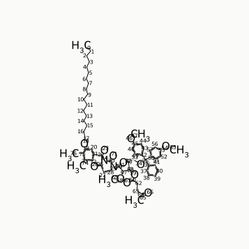 CCCCCCCCCCCCCCCCCCOc1cc(C(=O)n2c(=O)ccn([C@@H]3O[C@H](COC(c4ccccc4)(c4ccc(OC)cc4)c4ccc(OC)cc4)[C@H](OC(=O)CCC(C)=O)C3OC)c2=O)cc(C)c1C